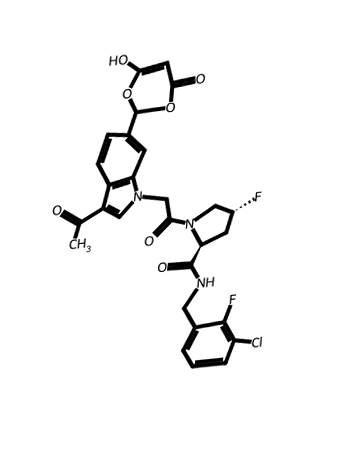 CC(=O)c1cn(CC(=O)N2C[C@H](F)C[C@H]2C(=O)NCc2cccc(Cl)c2F)c2cc(C3OC(=O)C=C(O)O3)ccc12